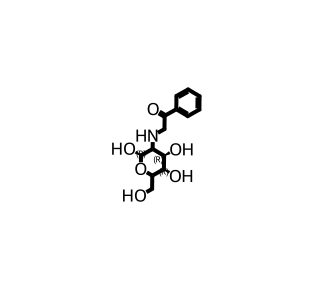 O=C(CNC1[C@H](O)OC(CO)[C@H](O)[C@@H]1O)c1ccccc1